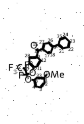 COc1cccc(OC(F)(Oc2ccc(C(=O)c3ccc(-c4ccccc4)cc3)cc2)C(F)C(F)(F)F)c1